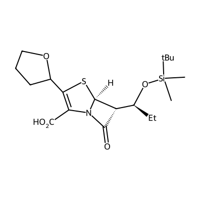 CC[C@H](O[Si](C)(C)C(C)(C)C)[C@@H]1C(=O)N2C(C(=O)O)=C(C3CCCO3)S[C@@H]12